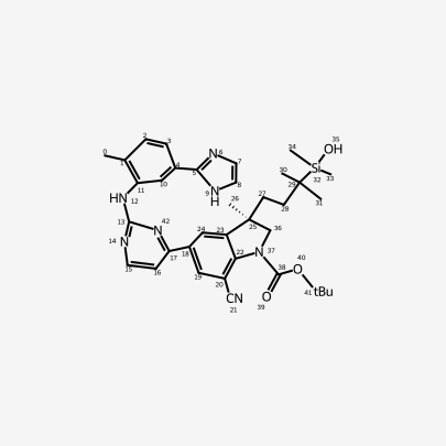 Cc1ccc(-c2ncc[nH]2)cc1Nc1nccc(-c2cc(C#N)c3c(c2)[C@@](C)(CCC(C)(C)[Si](C)(C)O)CN3C(=O)OC(C)(C)C)n1